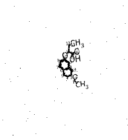 CCOc1ccc2ccc(OC(CC)C(=O)O)cc2c1